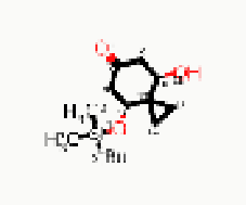 CC(C)(C)[Si](C)(C)O[C@@H]1CC(=O)C[C@@H](O)C12CC2